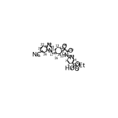 CCOP(=O)(O)c1ccc(N2C[C@@]3(CCC[C@](C)(Cn4cnc5ccc(C#N)cc54)C3)C(=O)C2=O)nc1